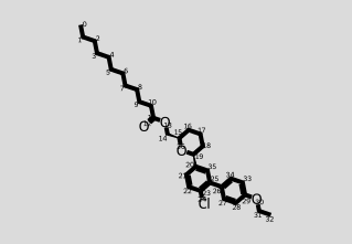 CCCCCCCCCCCC(=O)OC[C@H]1CCC[C@@H](c2ccc(Cl)c(-c3ccc(OCC)cc3)c2)O1